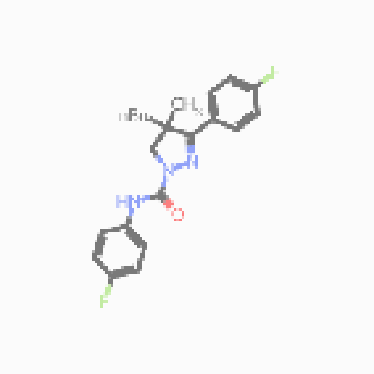 CCCCC1(C)CN(C(=O)Nc2ccc(F)cc2)N=C1c1ccc(F)cc1